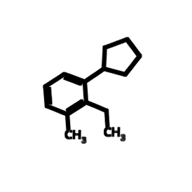 CCc1c(C)cccc1C1CCCC1